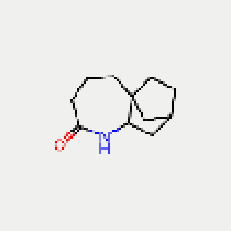 O=C1CCCC23CCC(CC2N1)C3